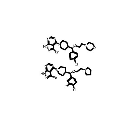 Clc1ccc([C@H](OCCN2CCOCC2)C2CCN(c3ncnc4[nH]nc(Br)c34)CC2)cc1.Fc1cc([C@H](OCCN2CCCC2)C2CCN(c3ncnc4[nH]nc(Br)c34)CC2)ccc1Cl